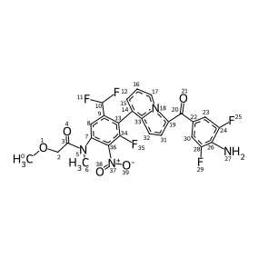 COCC(=O)N(C)c1cc(C(F)F)c(-c2cccn3c(C(=O)c4cc(F)c(N)c(F)c4)ccc23)c(F)c1[N+](=O)[O-]